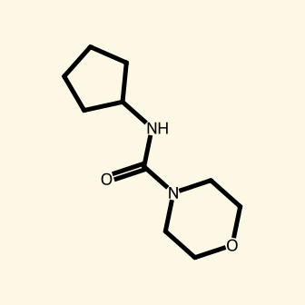 O=C(NC1CCCC1)N1CCOCC1